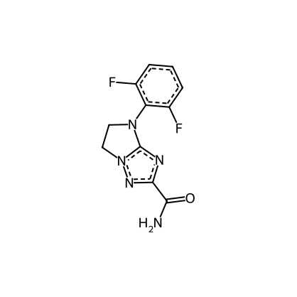 NC(=O)c1nc2n(n1)CCN2c1c(F)cccc1F